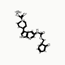 CC(C)(C)OC(=O)N1CC=C(c2c[nH]c3ncc(NC(=O)OCc4ccccc4Cl)cc23)CC1